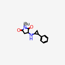 CCC(C)N1C(=O)CC(NC2CC2c2ccccc2)C1=O